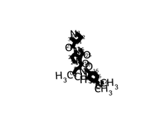 CC(C)CC(NC(=O)c1ccc(N(C)C)cc1)C(=O)N1CCC2C1C(=O)CN2C(=O)c1cccnc1